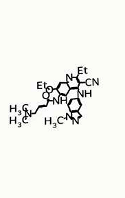 CCOc1cc2nc(CC)c(C#N)c(Nc3ccc4c(cnn4C)c3)c2cc1NC(=O)/C=C/CN(C)C